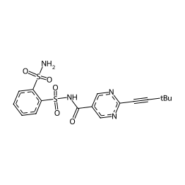 CC(C)(C)C#Cc1ncc(C(=O)NS(=O)(=O)c2ccccc2S(N)(=O)=O)cn1